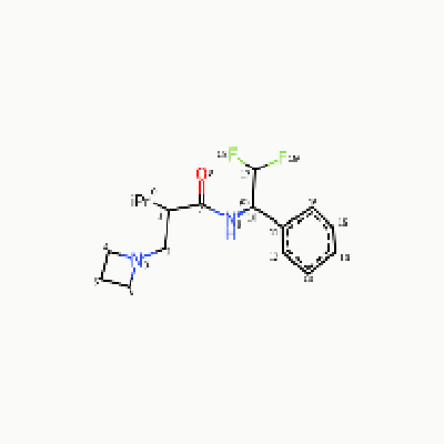 CC(C)C(CN1CCC1)C(=O)N[C@H](c1ccccc1)C(F)F